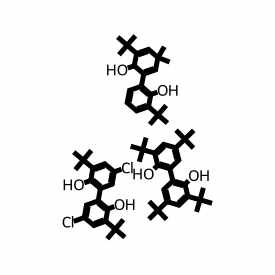 CC(C)(C)c1cc(-c2cc(C(C)(C)C)cc(C(C)(C)C)c2O)c(O)c(C(C)(C)C)c1.CC(C)(C)c1cc(Cl)cc(-c2cc(Cl)cc(C(C)(C)C)c2O)c1O.CC1(C)C=C(c2cccc(C(C)(C)C)c2O)C(O)C(C(C)(C)C)=C1